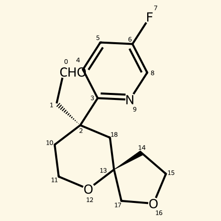 O=CC[C@@]1(c2ccc(F)cn2)CCO[C@]2(CCOC2)C1